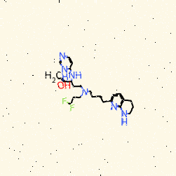 C=C(O)C(CCN(CCCCc1ccc2c(n1)NCCC2)CCC(F)F)NC1C=CN=CN1